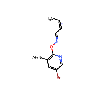 C/C=C\C=NOc1ncc(Br)cc1NC